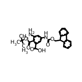 CC(C)(C)OC(=O)c1c(N)cc(NC(=O)OCC2c3ccccc3-c3ccccc32)cc1C(=O)O